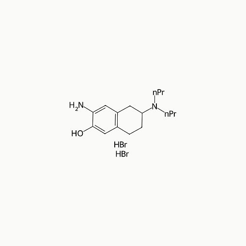 Br.Br.CCCN(CCC)C1CCc2cc(O)c(N)cc2C1